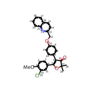 COc1ccc(C2=C(c3ccc(OCc4ccc5ccccc5n4)cc3)C(=O)C(C)(C)O2)cc1Cl